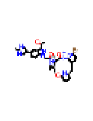 CC(=O)c1nn(CC(=O)N2C3C[C@@]34COc3cccc(n3)CCc3ccc(Br)nc3NC(=O)[C@@H]2C4)c2ccc(-c3cnc(C)nc3)cc12